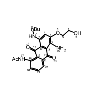 CCCCNc1cc(OCCO)c(N)c2c1C(=O)c1c(NC(C)=O)cccc1C2=O